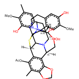 COc1cc2c(cc1O)CCN[C@]21CS[C@@H]2c3c(OC(C)=O)c(C)c4c(c3[C@H](COC1O)N1C2C2c3c(cc(C)c(OC)c3O)C[C@H]([C@@H]1O)N2C)OCO4